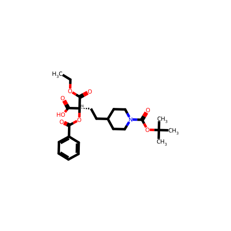 CCOC(=O)[C@@](CCC1CCN(C(=O)OC(C)(C)C)CC1)(OC(=O)c1ccccc1)C(=O)O